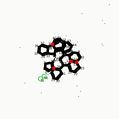 C1=CC[C]([Zr+2](=[C](C(c2ccccc2)c2ccccc2)C(c2ccccc2)c2ccccc2)[CH]2c3ccccc3-c3ccc4ccccc4c32)=C1.[Cl-].[Cl-]